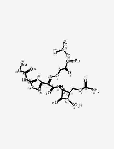 CC(C)(C)OC(=O)CON=C(C(=O)N[C@@H]1C(=O)N(S(=O)(=O)O)[C@@H]1COC(N)=O)c1nsc(NC(=O)OC(C)(C)C)n1.CCN(CC)CC